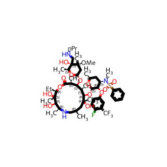 CCCNC[C@]1(O)[C@H](C)O[C@@H](O[C@H]2[C@H](C)[C@@H](O[C@@H]3O[C@H](C)C[C@H](N(C)S(=O)(=O)c4ccccc4)[C@H]3Oc3ccc(F)c(C(F)(F)F)c3)[C@](C)(O)C[C@@H](C)CN[C@H](C)[C@@H](O)[C@](C)(O)[C@@H](CC)OC(=O)[C@@H]2C)C[C@@]1(C)OC